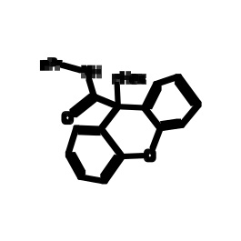 CCCCCCC1(C(=O)NCCC)c2ccccc2Oc2ccccc21